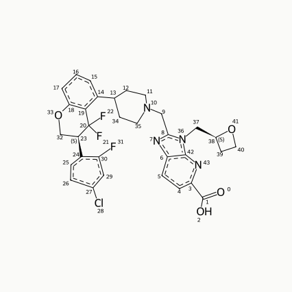 O=C(O)c1ccc2nc(CN3CCC(c4cccc5c4C(F)(F)[C@@H](c4ccc(Cl)cc4F)CO5)CC3)n(C[C@@H]3CCO3)c2n1